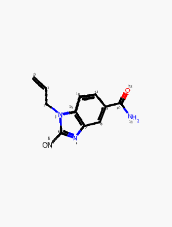 C=CCn1c(N=O)nc2cc(C(N)=O)ccc21